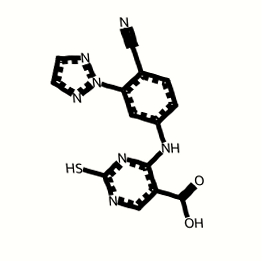 N#Cc1ccc(Nc2nc(S)ncc2C(=O)O)cc1-n1nccn1